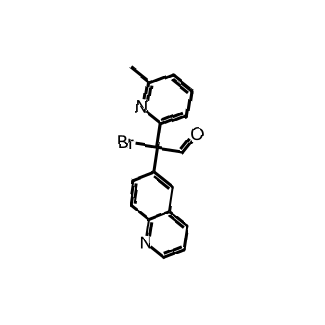 Cc1cccc(C(Br)(C=O)c2ccc3ncccc3c2)n1